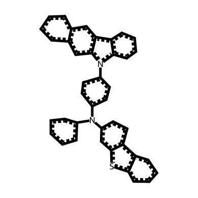 c1ccc(N(c2ccc(-n3c4ccccc4c4cc5ccccc5cc43)cc2)c2ccc3c(c2)sc2ccccc23)cc1